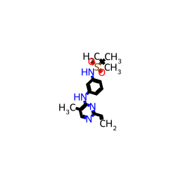 C=Cc1ncc(C)c(Nc2cccc(NS(=O)(=O)C(C)(C)C)c2)n1